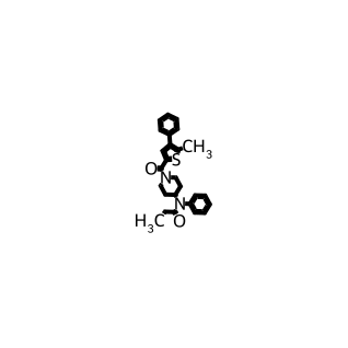 CCC(=O)N(c1ccccc1)C1CCN(C(=O)c2cc(-c3ccccc3)c(C)s2)CC1